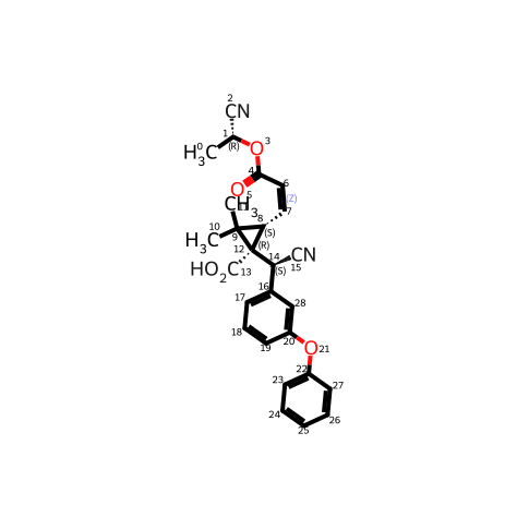 C[C@H](C#N)OC(=O)/C=C\[C@H]1C(C)(C)[C@]1(C(=O)O)[C@@H](C#N)c1cccc(Oc2ccccc2)c1